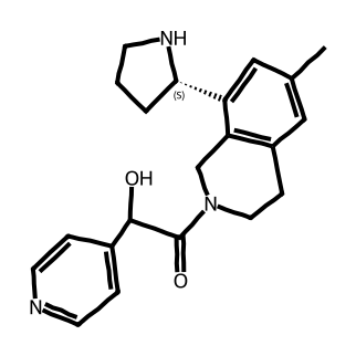 Cc1cc2c(c([C@@H]3CCCN3)c1)CN(C(=O)C(O)c1ccncc1)CC2